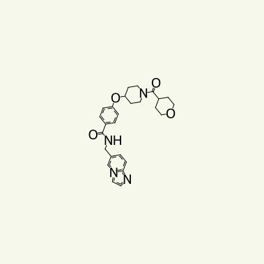 O=C(NCc1ccc2nccn2c1)c1ccc(OC2CCN(C(=O)C3CCOCC3)CC2)cc1